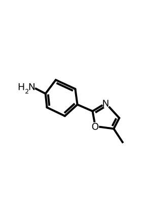 Cc1cnc(-c2ccc(N)cc2)o1